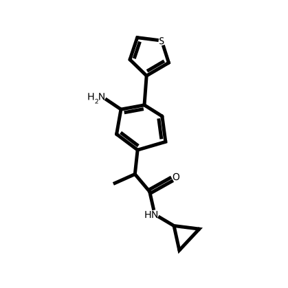 CC(C(=O)NC1CC1)c1ccc(-c2ccsc2)c(N)c1